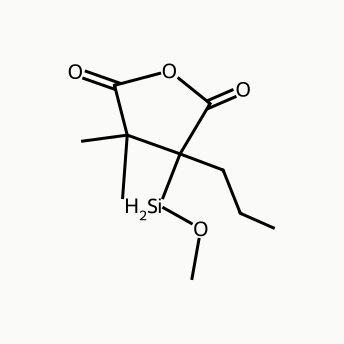 CCCC1([SiH2]OC)C(=O)OC(=O)C1(C)C